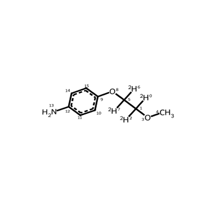 [2H]C([2H])(OC)C([2H])([2H])Oc1ccc(N)cc1